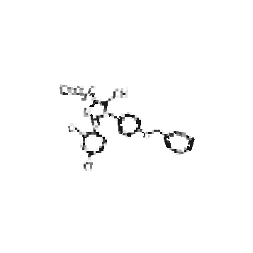 CCOC(=O)c1nn(-c2ccc(Cl)cc2Cl)c(-c2ccc(OCc3ccccc3)cc2)c1C#N